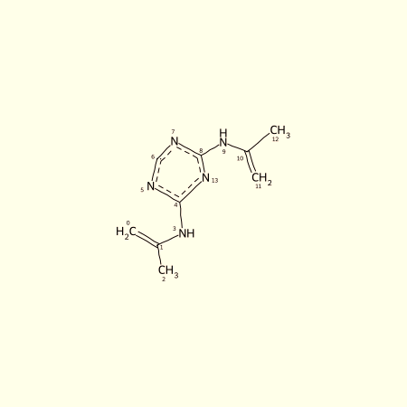 C=C(C)Nc1n[c]nc(NC(=C)C)n1